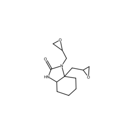 O=C1NC2CCCCC2(CC2CO2)N1CC1CO1